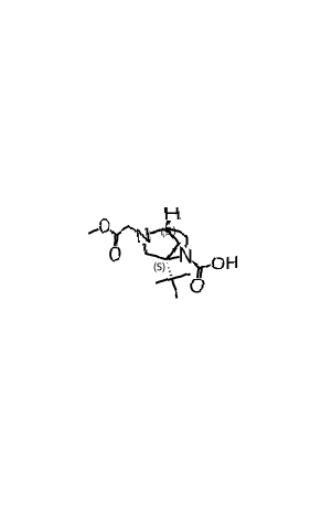 COC(=O)CN1C[C@@]2(C(C)(C)C)C[C@H]1CN2C(=O)O